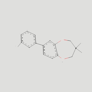 CCOC(=O)c1cccc(-c2ccc3c(c2)OCC(C)(C)CO3)c1